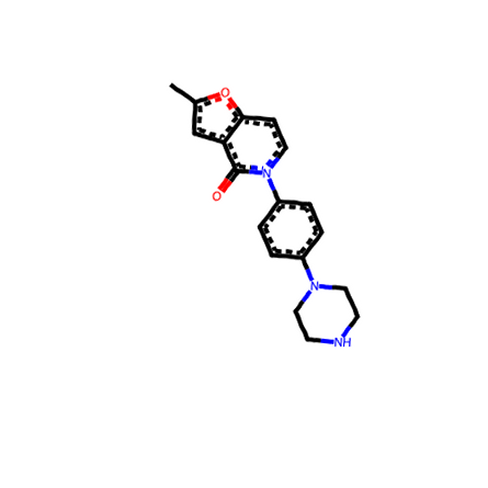 Cc1cc2c(=O)n(-c3ccc(N4CCNCC4)cc3)ccc2o1